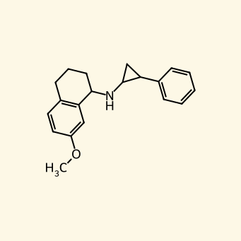 COc1ccc2c(c1)C(NC1CC1c1ccccc1)CCC2